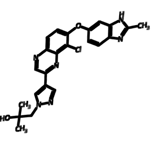 Cc1nc2ccc(Oc3ccc4ncc(-c5cnn(CC(C)(C)O)c5)nc4c3Cl)cc2[nH]1